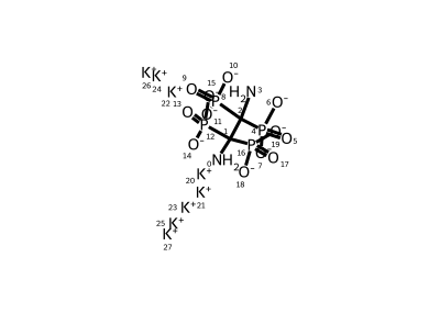 NC(C(N)(P(=O)([O-])[O-])P(=O)([O-])[O-])(P(=O)([O-])[O-])P(=O)([O-])[O-].[K+].[K+].[K+].[K+].[K+].[K+].[K+].[K+]